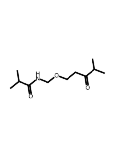 CC(C)C(=O)CCOCNC(=O)C(C)C